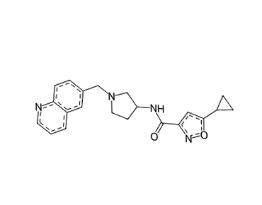 O=C(NC1CCN(Cc2ccc3ncccc3c2)C1)c1cc(C2CC2)on1